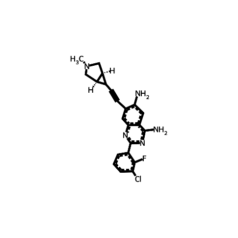 CN1C[C@@H]2C(C#Cc3cc4nc(-c5cccc(Cl)c5F)nc(N)c4cc3N)[C@@H]2C1